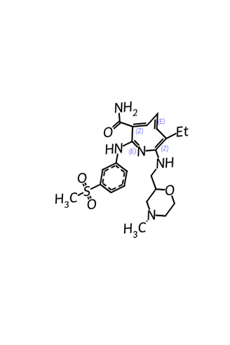 CCC1=C(NCC2CN(C)CCO2)/N=C(Nc2cccc(S(C)(=O)=O)c2)\C(C(N)=O)=C\C=C\1